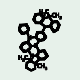 CC1(C)c2ccccc2C(c2ccc3c(c2)N(c2ccccc2)c2cccc4c2B3c2cccc3c2N4C2(C)CCCCC32C)c2ccccc21